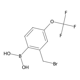 OB(O)c1ccc(OC(F)(F)F)cc1CBr